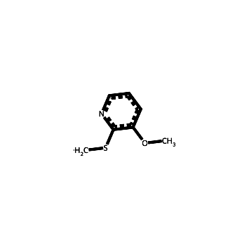 [CH2]Sc1ncccc1OC